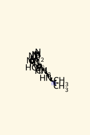 C/C=C(\C)CCNCCCNC[C@H]1C[C@@H](n2cc(-c3ncns3)c3c(N)ncnc32)[C@H](O)[C@@H]1C